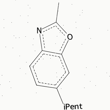 CCCC(C)c1ccc2nc(C)oc2c1